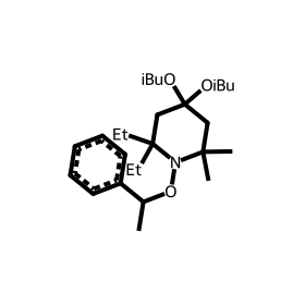 CCC1(CC)CC(OCC(C)C)(OCC(C)C)CC(C)(C)N1OC(C)c1ccccc1